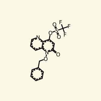 O=c1cc(OS(=O)(=O)C(F)(F)F)c2ncccc2n1OCc1ccccc1